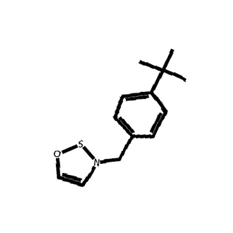 CC(C)(C)c1ccc(CN2C=COS2)cc1